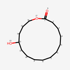 O=C1CCCCCCCCCCC(O)CCCO1